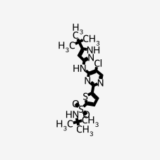 CC(C)(C)NS(=O)(=O)c1ccc(-c2ncc(Cl)c(Nc3cc(C(C)(C)C)[nH]n3)n2)s1